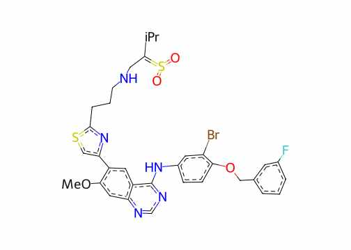 COc1cc2ncnc(Nc3ccc(OCc4cccc(F)c4)c(Br)c3)c2cc1-c1csc(CCCNCC(C(C)C)=S(=O)=O)n1